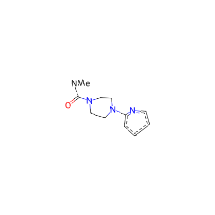 CNC(=O)N1CCN(c2ccccn2)CC1